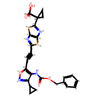 O=C(Nc1c(C2CC2)noc1C#Cc1nc2sc(C3(C(=O)O)CC3)nc2s1)OCc1ccccc1